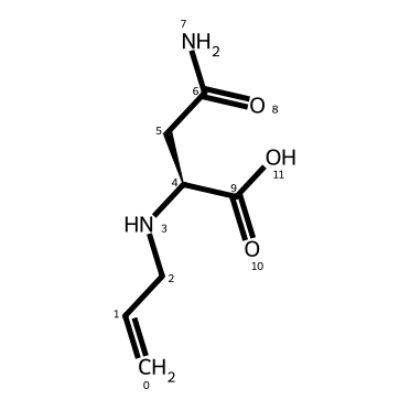 C=CCN[C@@H](CC(N)=O)C(=O)O